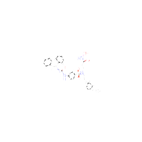 COc1ccc(CCN(CCC(=O)NO)S(=O)(=O)c2ccc(NC(=O)NC(Cc3ccccc3)c3ccccc3)cc2)cc1